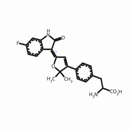 CC1(C)O/C(=C2/C(=O)Nc3cc(F)ccc32)C=C1c1ccc(CC(N)C(=O)O)cc1